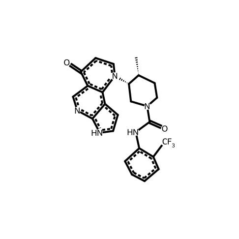 C[C@@H]1CCN(C(=O)Nc2ccccc2C(F)(F)F)C[C@@H]1n1ccc(=O)c2cnc3[nH]ccc3c21